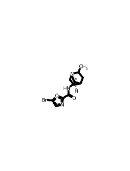 CC1CC2CCN1C[C@@H]2NC(=O)c1ncc(Br)o1